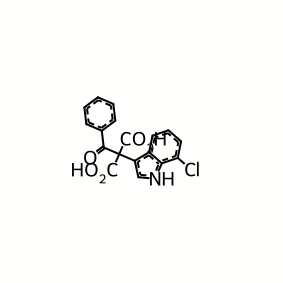 O=C(O)C(C(=O)O)(C(=O)c1ccccc1)c1c[nH]c2c(Cl)cccc12